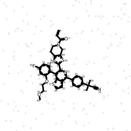 C=CC(=O)N1CCc2nc(-c3nc(-c4ccc(C(C)(C)C#N)cc4)c4ccsc4c3-c3c(F)cc(F)cc3OCCOC)sc2C1